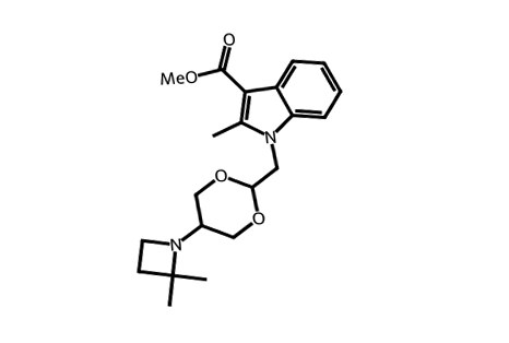 COC(=O)c1c(C)n(CC2OCC(N3CCC3(C)C)CO2)c2ccccc12